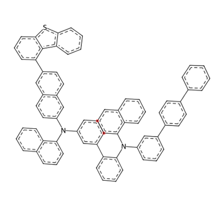 c1ccc(-c2ccc(-c3cccc(N(c4ccccc4-c4cccc(N(c5ccc6cc(-c7cccc8sc9ccccc9c78)ccc6c5)c5cccc6ccccc56)c4)c4cccc5ccccc45)c3)cc2)cc1